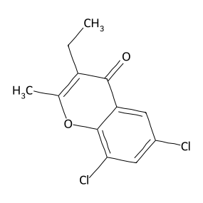 CCc1c(C)oc2c(Cl)cc(Cl)cc2c1=O